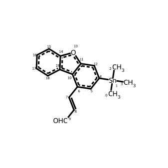 [CH3][Sn]([CH3])([CH3])[c]1cc(/C=C/C=O)c2c(c1)oc1ccccc12